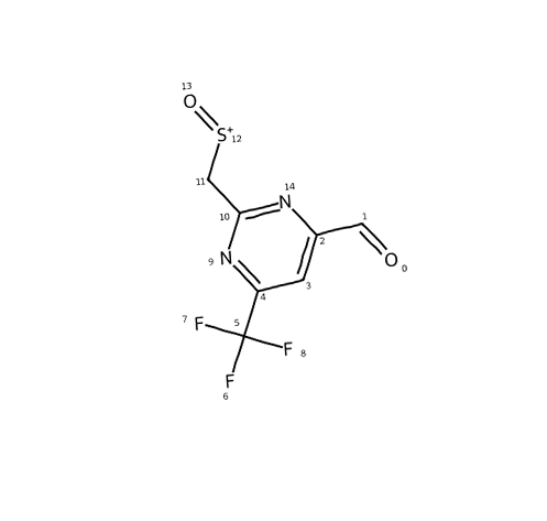 O=Cc1cc(C(F)(F)F)nc(C[S+]=O)n1